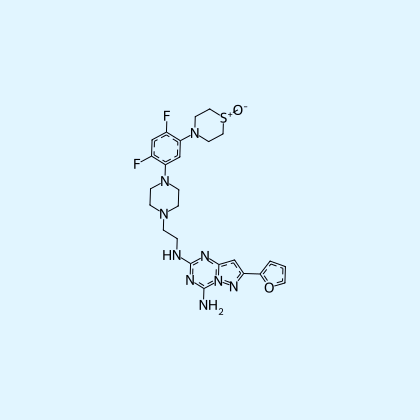 Nc1nc(NCCN2CCN(c3cc(N4CC[S+]([O-])CC4)c(F)cc3F)CC2)nc2cc(-c3ccco3)nn12